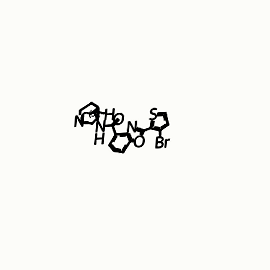 O=C(N[C@@H]1CN2CCC1CC2)c1cccc2oc(-c3sccc3Br)nc12